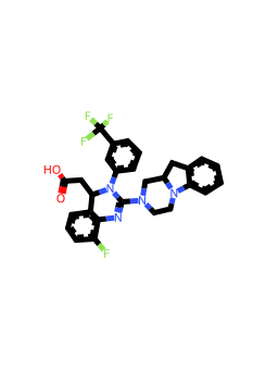 O=C(O)CC1c2cccc(F)c2N=C(N2CCN3c4ccccc4CC3C2)N1c1cccc(C(F)(F)F)c1